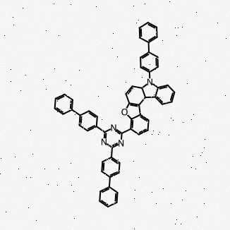 C1=CC2C(c3ccccc3N2c2ccc(-c3ccccc3)cc2)c2c1oc1c(-c3nc(-c4ccc(-c5ccccc5)cc4)nc(-c4ccc(-c5ccccc5)cc4)n3)cccc21